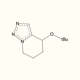 CC(C)(C)OC1CCCn2nncc21